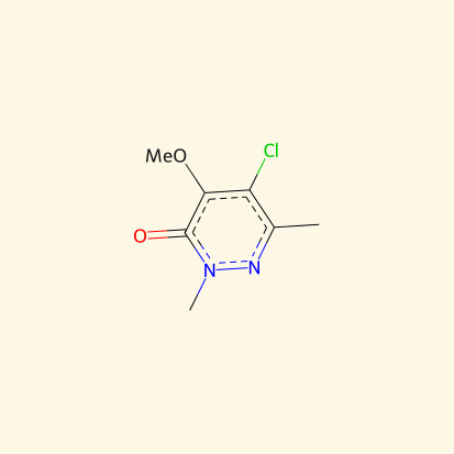 COc1c(Cl)c(C)nn(C)c1=O